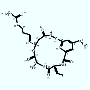 C/C=C1\NC(=O)c2cc(SCCC)cc(n2)CNC(=O)C[C@@H](/C=C/CCSC(=O)CCCCCCC)OC(=O)[C@H](CC)NC1=O